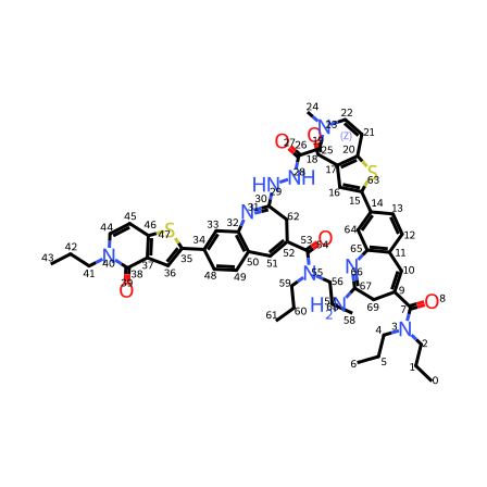 CCCN(CCC)C(=O)C1=Cc2ccc(-c3cc(C=O)c(/C=C\N(C)CC(=O)NNC4=Nc5cc(-c6cc7c(=O)n(CCC)ccc7s6)ccc5C=C(C(=O)N(CCC)CCC)C4)s3)cc2N=C(N)C1